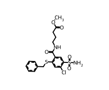 COC(=O)CCCNC(=O)c1cc(S(N)(=O)=O)c(Cl)cc1SCc1ccccc1